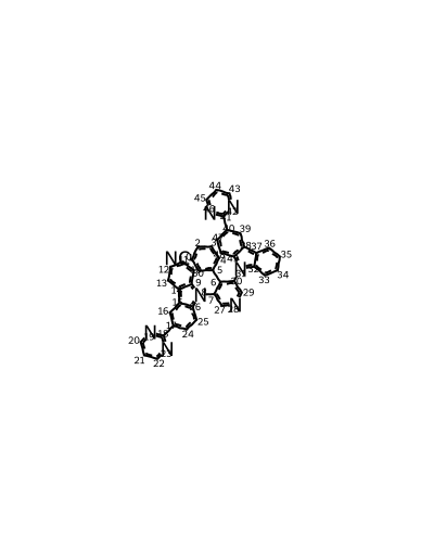 N#Cc1cccc(-c2c(-n3c4ccccc4c4cc(-c5ncccn5)ccc43)cncc2-n2c3ccccc3c3cc(-c4ncccn4)ccc32)c1